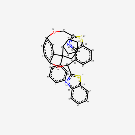 c1ccc(C2(c3cc4ccc3OC(c3nc5ccccc5s3)c3cccc5sc(nc35)CO4)CC3CCC2C3)cc1